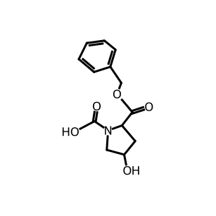 O=C(OCc1ccccc1)C1CC(O)CN1C(=O)O